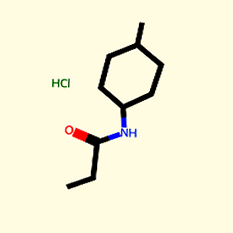 CCC(=O)NC1CCC(C)CC1.Cl